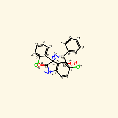 O=C1Nc2ccc(Cl)cc2C1(N[C@H](CO)c1ccccc1)c1ccccc1Cl